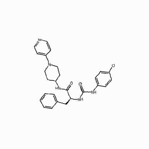 O=C(Nc1ccc(Cl)cc1)N[C@@H](Cc1ccccc1)C(=O)NC1CCN(c2ccncc2)CC1